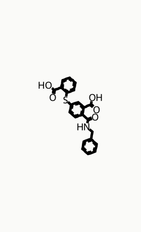 O=C(O)c1ccccc1Sc1ccc(C(=O)NCc2ccccc2)c(C(=O)O)c1